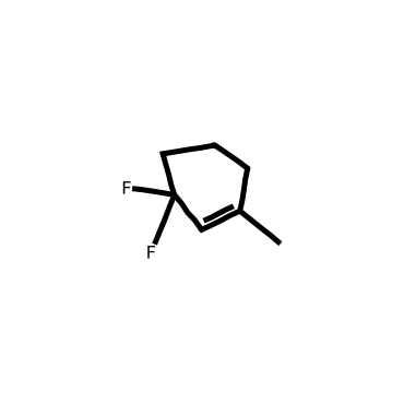 CC1=CC(F)(F)CCC1